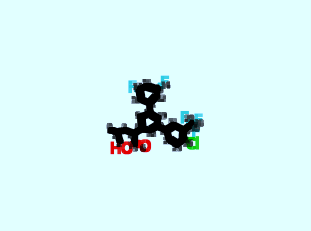 CC(C)CC(C(=O)O)c1cc(-c2cc(F)cc(F)c2)cc(-c2ccc(Cl)c(C(F)(F)F)c2)c1